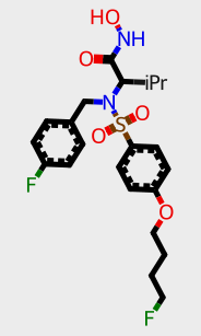 CC(C)C(C(=O)NO)N(Cc1ccc(F)cc1)S(=O)(=O)c1ccc(OCCCCF)cc1